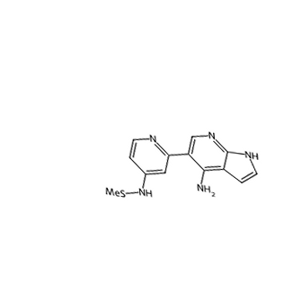 CSNc1ccnc(-c2cnc3[nH]ccc3c2N)c1